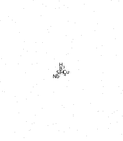 B.[Cu].[Nb].[SiH4]